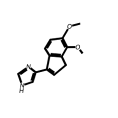 COc1ccc2c(c1OC)CC=C2c1c[nH]cn1